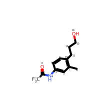 Cc1cc(NC(=O)C(F)(F)F)ccc1CCCO